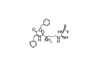 B#P(F)NC(=N)NCCC[C@@H](N)C(=O)N[C@@H](Cc1ccccc1)C(=O)OCc1ccccc1